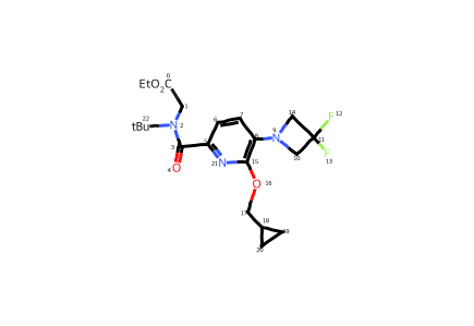 CCOC(=O)CN(C(=O)c1ccc(N2CC(F)(F)C2)c(OCC2CC2)n1)C(C)(C)C